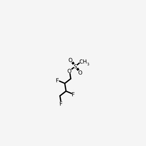 CS(=O)(=O)OCC(F)C(F)CF